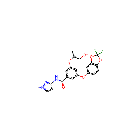 C[C@@H](CO)Oc1cc(Oc2ccc3c(c2)OC(F)(F)O3)cc(C(=O)Nc2ccn(C)n2)c1